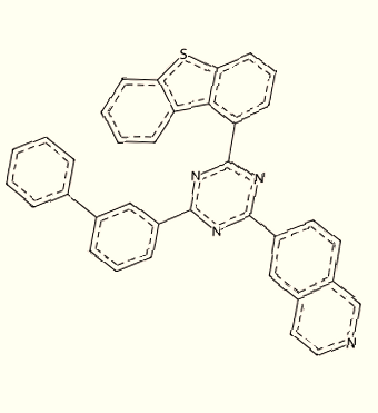 c1ccc(-c2cccc(-c3nc(-c4ccc5cnccc5c4)nc(-c4cccc5sc6ccccc6c45)n3)c2)cc1